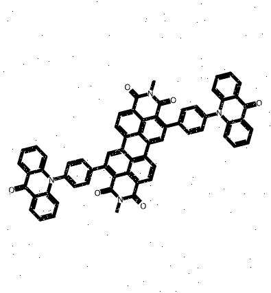 CN1C(=O)c2ccc3c4cc(-c5ccc(-n6c7ccccc7c(=O)c7ccccc76)cc5)c5c6c(ccc(c7cc(-c8ccc(-n9c%10ccccc%10c(=O)c%10ccccc%109)cc8)c(c2c37)C1=O)c64)C(=O)N(C)C5=O